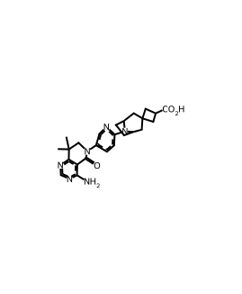 CC1(C)CN(c2ccc(N3C4CCC3CC3(CC(C(=O)O)C3)C4)nc2)C(=O)c2c(N)ncnc21